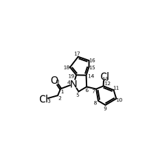 O=C(CCl)N1CC(c2ccccc2Cl)c2ccccc21